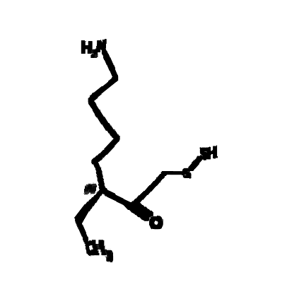 CC[C@@H](CCCCN)C(=O)CSS